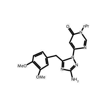 CCCn1cnc(-n2nc(N)nc2Cc2ccc(OC)c(OC)c2)cc1=O